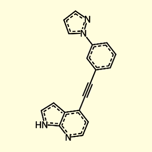 C(#Cc1ccnc2[nH]ccc12)c1cccc(-n2cccn2)c1